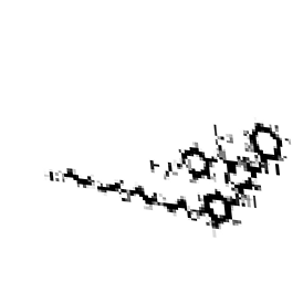 CN1CCC(N(C)c2nc(Nc3ccc(OCCOCCOCCOCCO)c(F)c3)nc(NC3CCCCCC3)n2)CC1